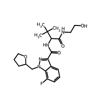 CC(C)(C)C(NC(=O)c1nn(CC2CCCO2)c2c(F)cccc12)C(=O)NCCO